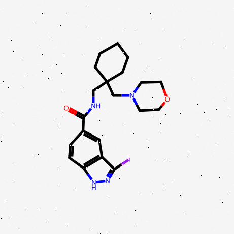 O=C(NCC1(CN2CCOCC2)CCCCC1)c1ccc2[nH]nc(I)c2c1